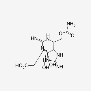 N=C1NC2C(COC(N)=O)NC(=N)N3CC(CC(=O)O)C(O)(O)C23N1